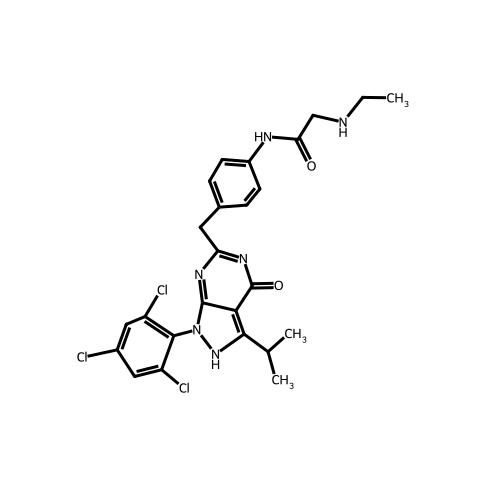 CCNCC(=O)Nc1ccc(Cc2nc3n(-c4c(Cl)cc(Cl)cc4Cl)[nH]c(C(C)C)c-3c(=O)n2)cc1